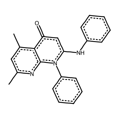 Cc1cc(C)c2c(=O)cc(Nc3ccccc3)n(-c3ccccc3)c2n1